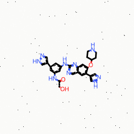 O=C(CO)Nc1cc(Nc2ncc3cc(-c4cn[nH]c4)c(OC4CCNCC4)cc3n2)cc(-c2cn[nH]c2)c1